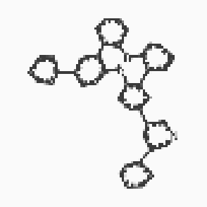 c1ccc(-c2cncc(-c3ccc4c(c3)-c3ccccc3B3c5ccccc5-c5cc(-c6ccccc6)ccc5N34)c2)cc1